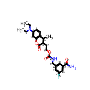 CCN(CC)c1ccc2c(c1)OC(=O)C(CCOC(=O)NCc1cc(F)cc(C(N)=O)c1)C2C